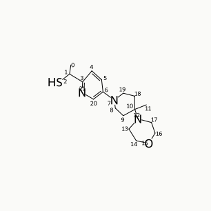 CC(S)c1ccc(N2CCC(C)(N3CCOCC3)CC2)cn1